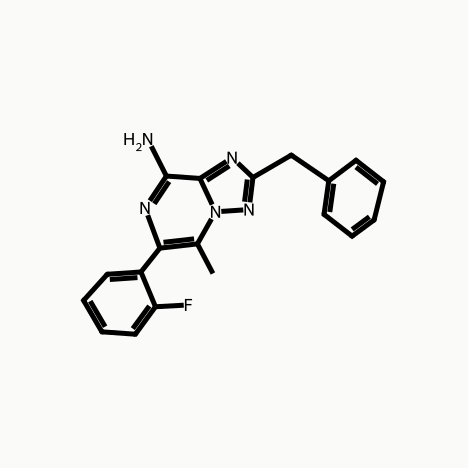 Cc1c(-c2ccccc2F)nc(N)c2nc(Cc3ccccc3)nn12